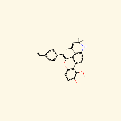 C=Cc1ccc(/C=C2\Oc3ccc(O)c(OC)c3-c3ccc4c(c32)C(C)=CC(C)(C)N4)cc1